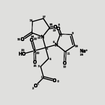 O=C([O-])CCC(N1C(=O)C=CC1=O)(N1C(=O)CCC1=O)S(=O)(=O)O.[Na+]